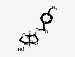 Cc1ccc(C(=O)O[C@@H]2CO[C@H]3[C@@H]2OC[C@H]3O)cc1